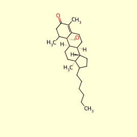 CCCCCCC1CC[C@H]2[C@@H]3CCC4=C(C)C(=O)CC(C)[C@]4(C=O)[C@@H]3CC[C@]12C